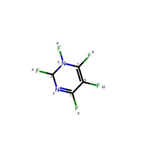 FC1=NC(F)N(F)C(F)=C1F